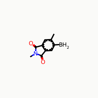 Bc1cc2c(cc1C)C(=O)N(C)C2=O